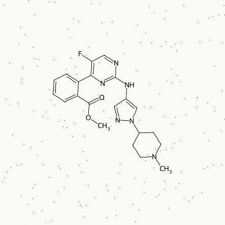 COC(=O)c1ccccc1-c1nc(Nc2cnn(C3CCN(C)CC3)c2)ncc1F